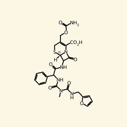 CN(C(=O)NCc1ccco1)C(=O)NC(C(=O)NC1C(=O)N2C(C(=O)O)=C(COC(N)=O)CS[C@@H]12)c1ccccc1